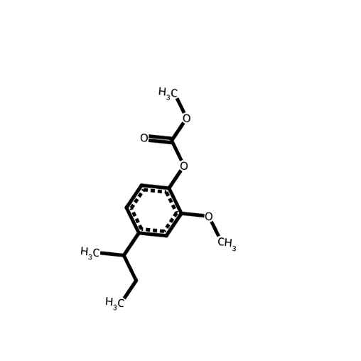 CCC(C)c1ccc(OC(=O)OC)c(OC)c1